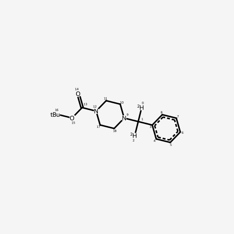 [2H]C([2H])(c1ccccc1)N1CCN(C(=O)OC(C)(C)C)CC1